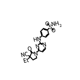 CCC1(C#N)CCN(c2ccnc(Nc3ccc(S(N)(=O)=O)cc3)n2)C1=O